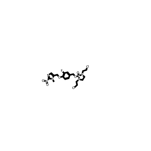 Cn1c(COc2ccc(COP3(=O)N(CCCl)CCN3CCCl)cc2F)cnc1[N+](=O)[O-]